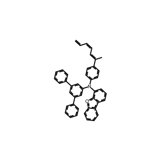 C=C/C=C\C=C(/C)c1ccc(N(c2cc(-c3ccccc3)cc(-c3ccccc3)c2)c2cccc3c2oc2ccccc23)cc1